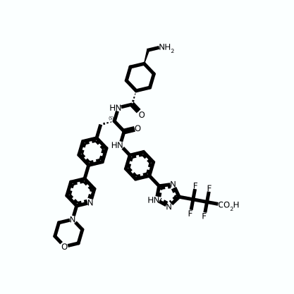 NC[C@H]1CC[C@H](C(=O)N[C@@H](Cc2ccc(-c3ccc(N4CCOCC4)nc3)cc2)C(=O)Nc2ccc(-c3nc(C(F)(F)C(F)(F)C(=O)O)n[nH]3)cc2)CC1